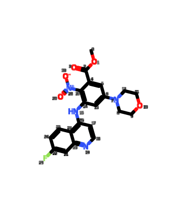 COC(=O)c1cc(N2CCOCC2)cc(Nc2ccnc3cc(F)ccc23)c1[N+](=O)[O-]